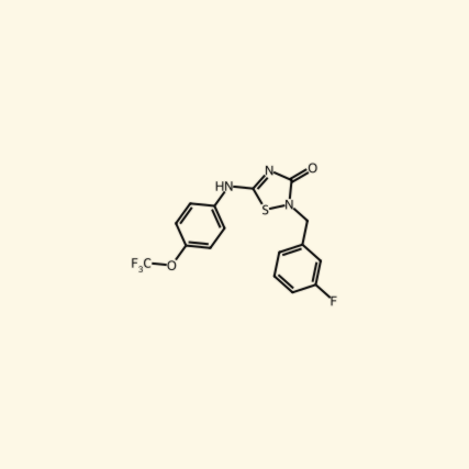 O=c1nc(Nc2ccc(OC(F)(F)F)cc2)sn1Cc1cccc(F)c1